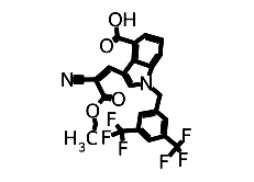 CCOC(=O)C(C#N)=Cc1cn(Cc2cc(C(F)(F)F)cc(C(F)(F)F)c2)c2cccc(C(=O)O)c12